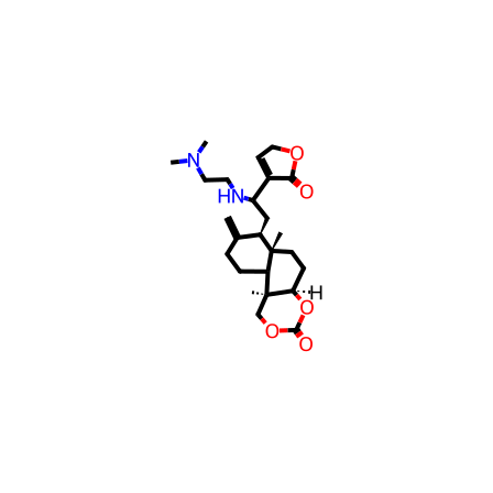 C=C1CCC2[C@]3(C)COC(=O)O[C@@H]3CC[C@@]2(C)[C@@H]1CC(NCCN(C)C)C1=CCOC1=O